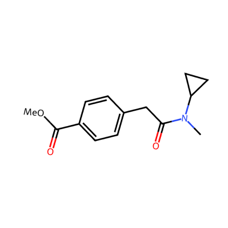 COC(=O)c1ccc(CC(=O)N(C)C2CC2)cc1